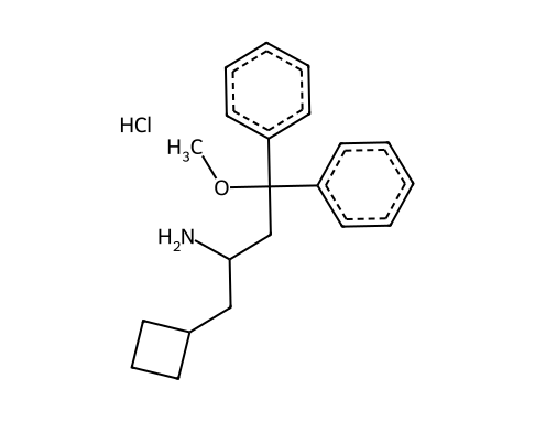 COC(CC(N)CC1CCC1)(c1ccccc1)c1ccccc1.Cl